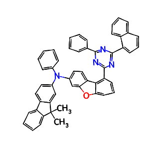 CC1(C)c2ccccc2-c2ccc(N(c3ccccc3)c3ccc4c(c3)oc3cccc(-c5nc(-c6ccccc6)nc(-c6cccc7ccccc67)n5)c34)cc21